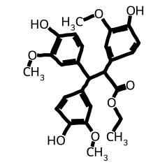 CCOC(=O)C(c1ccc(O)c(OC)c1)C(c1ccc(O)c(OC)c1)c1ccc(O)c(OC)c1